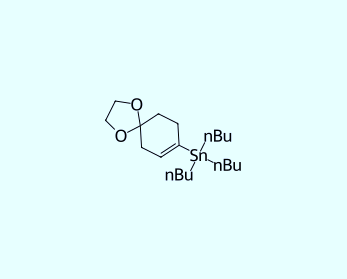 CCC[CH2][Sn]([CH2]CCC)([CH2]CCC)[C]1=CCC2(CC1)OCCO2